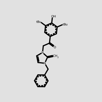 C=C1N(CC(=O)c2cc(C(C)(C)C)c(O)c(C(C)(C)C)c2)C=CN1Cc1ccccc1